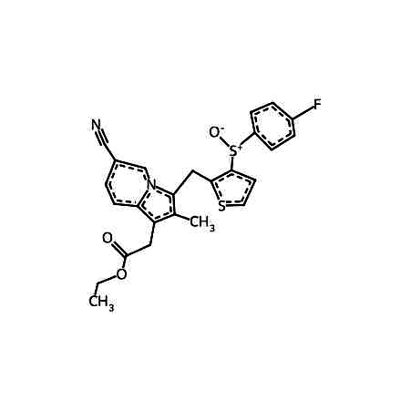 CCOC(=O)Cc1c(C)c(Cc2sccc2[S+]([O-])c2ccc(F)cc2)n2cc(C#N)ccc12